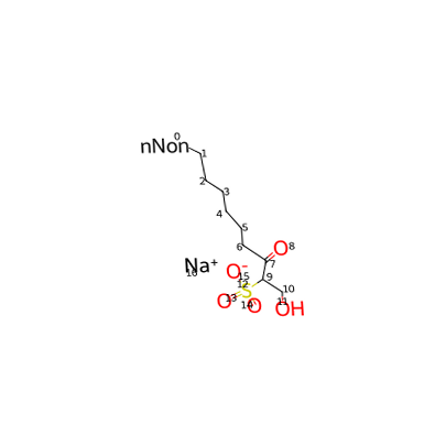 CCCCCCCCCCCCCCCC(=O)C(CO)S(=O)(=O)[O-].[Na+]